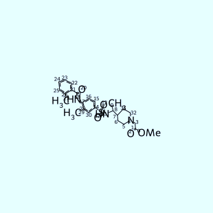 COC(=O)CN1CCC(C(C)NS(=O)(=O)c2ccc(NC(=O)c3ccccc3C)c(C)c2)CC1